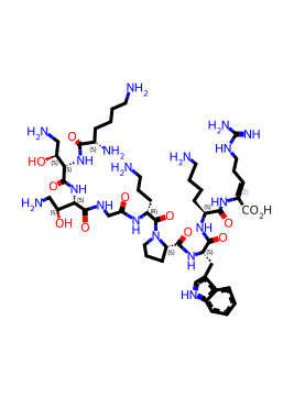 N=C(N)NCC/C=C(\NC(=O)[C@H](CCCCN)NC(=O)[C@H](Cc1c[nH]c2ccccc12)NC(=O)[C@@H]1CCCN1C(=O)[C@@H](CCCN)NC(=O)CNC(=O)[C@@H](NC(=O)[C@@H](NC(=O)[C@@H](N)CCCCN)[C@@H](O)CN)[C@@H](O)CN)C(=O)O